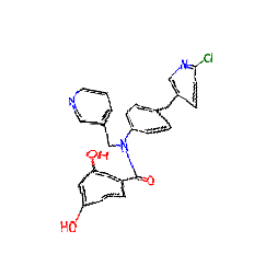 O=C(c1ccc(O)cc1O)N(Cc1cccnc1)c1ccc(-c2ccc(Cl)nc2)cc1